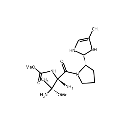 COC(=O)N[C@](N)(C(=O)N1CCC[C@H]1C1NC=C(C)N1)[C@](C)(N)OC